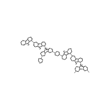 Cc1ccc2c(c1)c1cc(C)ccc1n2-c1cccc2c1sc1ccc(-c3cccc4sc5c(-c6ccc(-c7ccc8c(c7)c7cc(-c9ccccc9)ccc7n8-c7cccc8c7sc7ccc(-c9cccc%10c9sc9ccccc9%10)cc78)cc6)cccc5c34)cc12